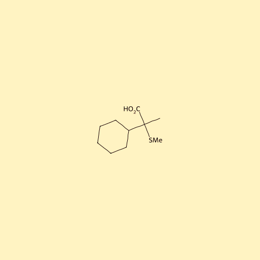 CSC(C)(C(=O)O)C1CCCCC1